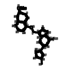 COc1ccc2c(OCc3nnc4c(F)cc(-c5cc(C)cs5)cn34)ccnc2c1